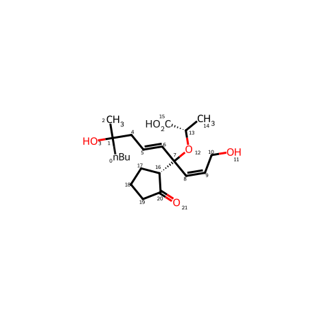 CCCCC(C)(O)C/C=C/C(/C=C\CO)(O[C@@H](C)C(=O)O)[C@H]1CCCC1=O